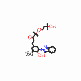 CC(C)(O)CCOC(C)(C)C(=O)CCc1cc(-n2cc3ccccc3n2)c(O)c(C(C)(C)C)c1